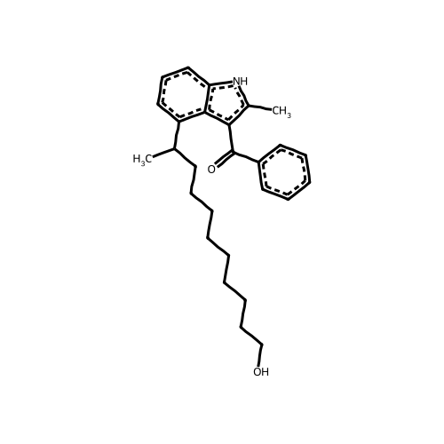 Cc1[nH]c2cccc(C(C)CCCCCCCCCO)c2c1C(=O)c1ccccc1